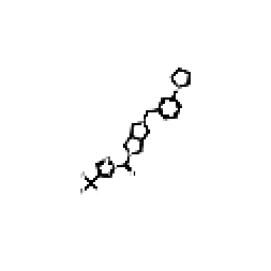 O=C(N1CC2CN(Cc3cccc(N4CCCC4)c3)CC2C1)n1cc(C(F)(F)F)cn1